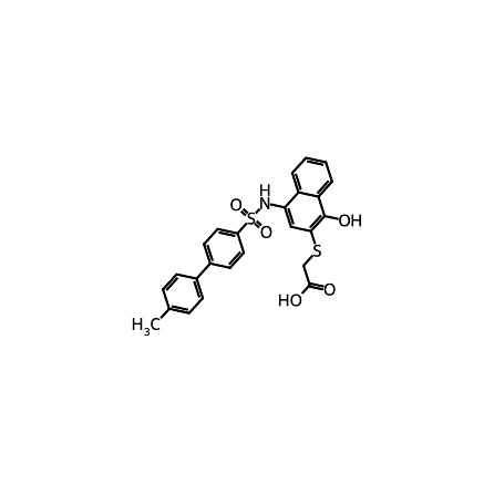 Cc1ccc(-c2ccc(S(=O)(=O)Nc3cc(SCC(=O)O)c(O)c4ccccc34)cc2)cc1